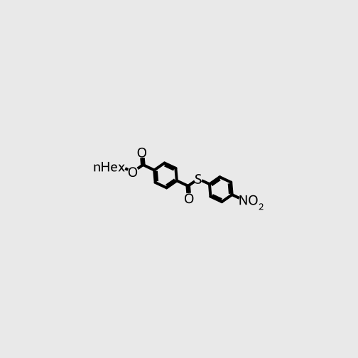 CCCCCCOC(=O)c1ccc(C(=O)Sc2ccc([N+](=O)[O-])cc2)cc1